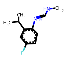 CN/C=N/c1ccc(F)cc1C(C)C